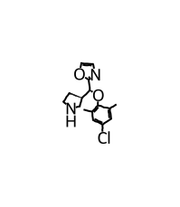 Cc1cc(Cl)cc(C)c1O[C@H](c1ncco1)[C@@H]1CCNC1